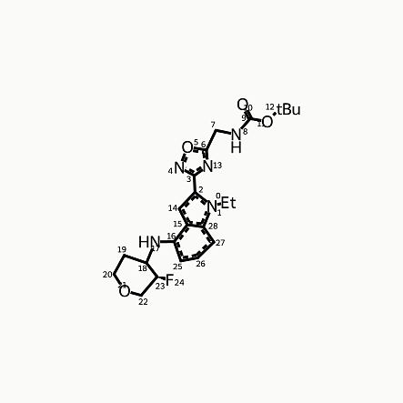 CCn1c(-c2noc(CNC(=O)OC(C)(C)C)n2)cc2c(NC3CCOC[C@@H]3F)cccc21